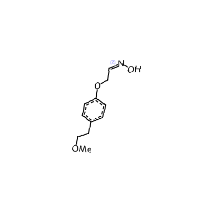 COCCc1ccc(OC/C=N\O)cc1